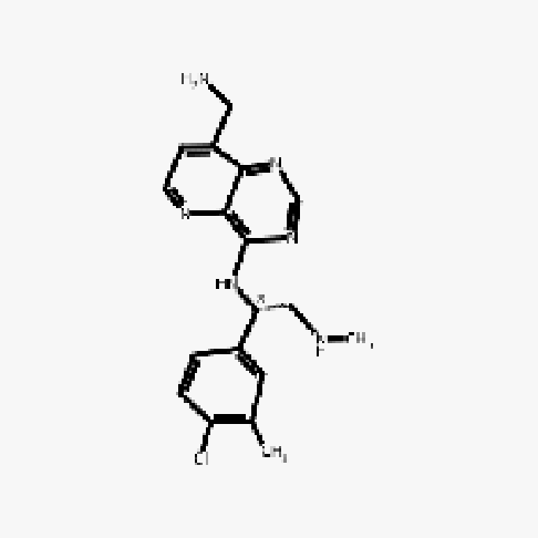 CNC[C@@H](Nc1ncnc2c(CN)ccnc12)c1ccc(Cl)c(C)c1